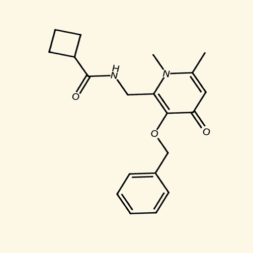 Cc1cc(=O)c(OCc2ccccc2)c(CNC(=O)C2CCC2)n1C